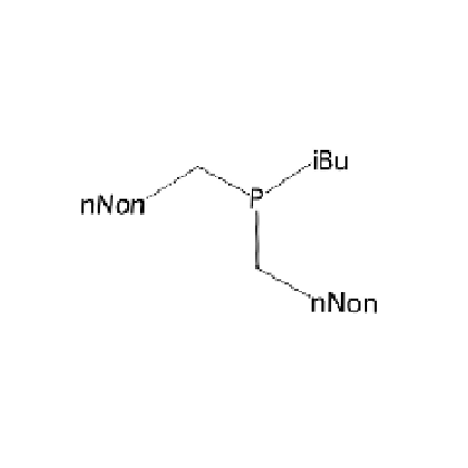 CCCCCCCCCCP(CCCCCCCCCC)C(C)CC